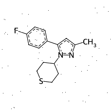 Cc1cc(-c2ccc(F)cc2)n(C2CCSCC2)n1